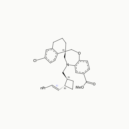 CCC/C=C/[C@H]1CC[C@@H]1CN1C[C@@]2(CCCc3cc(Cl)ccc32)COc2ccc(C(=O)OC)cc21